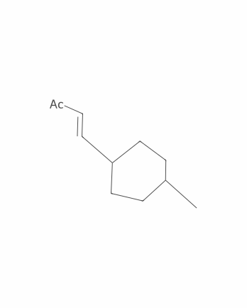 CC(=O)C=CC1CCC(C)CC1